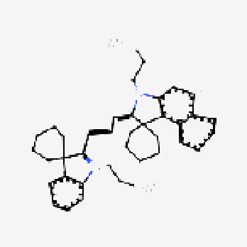 COCCN1/C(=C/C=C/C2=[N+](CCOC)c3ccccc3C23CCCCC3)C2(CCCCC2)c2c1ccc1ccccc21